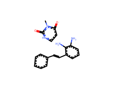 Cn1c(=O)cc[nH]c1=O.Nc1cccc(C=Cc2ccccc2)c1N